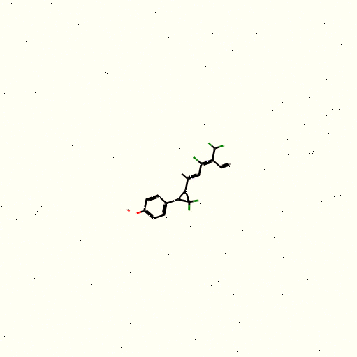 C=C/C(=C(Cl)\C=C(/C)C1C(c2ccc(OC)cc2)C1(Cl)Cl)C(F)F